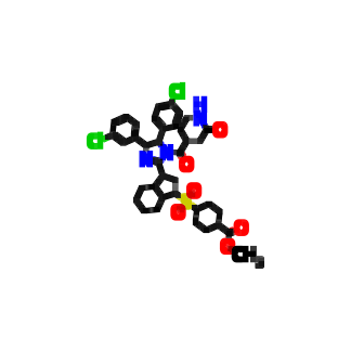 COC(=O)C1CCC(S(=O)(=O)C2CC(C3=NC(c4cccc(Cl)c4)C(c4ccc(Cl)cc4)N3C(=O)C3CCNC(=O)C3)C3CCCCC32)CC1